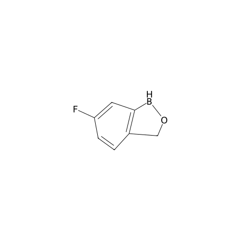 Fc1ccc2c(c1)BOC2